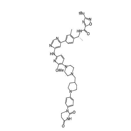 COc1nc(Nc2cc(-c3ccc([C@@H](C)NC(=O)c4nc(C(C)(C)C)no4)c(C)c3)ncn2)ccc1N1CCN(CC2CCN(c3ccc(N4CCC(=O)NC4=O)cc3)CC2)CC1